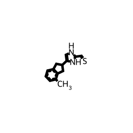 Cc1cccc2c1CC(C1=CNC(C=S)N1)C2